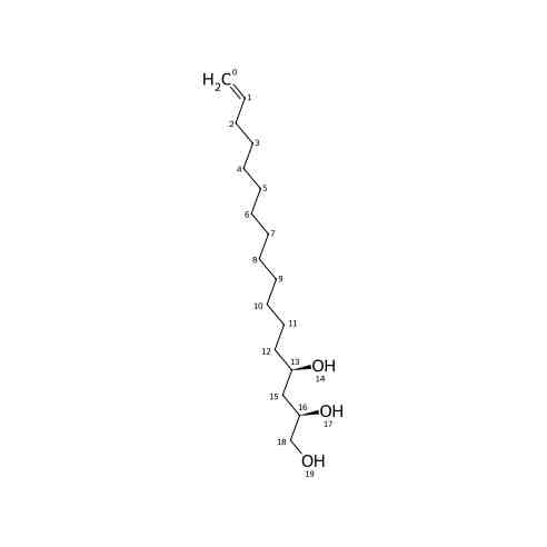 C=CCCCCCCCCCCC[C@@H](O)C[C@@H](O)CO